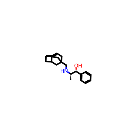 C[C@@H](NCC12CC=C3C(CC3C1)C2)[C@@H](O)c1ccccc1